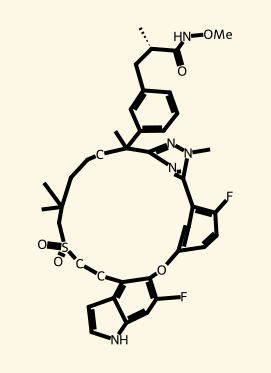 CONC(=O)[C@@H](C)Cc1cccc(C2(C)CCCC(C)(C)CS(=O)(=O)CCc3c(c(F)cc4[nH]ccc34)Oc3ccc(F)c(c3)-c3nc2nn3C)c1